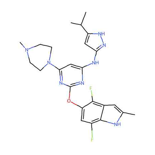 Cc1cc2c(F)c(Oc3nc(Nc4cc(C(C)C)[nH]n4)cc(N4CCN(C)CC4)n3)cc(F)c2[nH]1